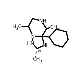 CC1CNC(C)C2(C3CCCCC3)N[C@H](C)NN12